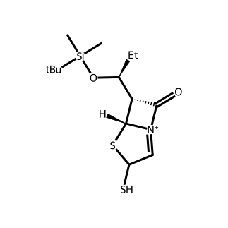 CC[C@H](O[Si](C)(C)C(C)(C)C)[C@@H]1C(=O)[N+]2=CC(S)S[C@H]12